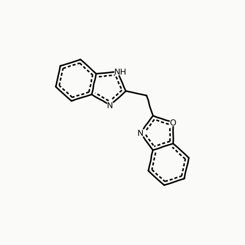 c1ccc2[nH]c(Cc3nc4ccccc4o3)nc2c1